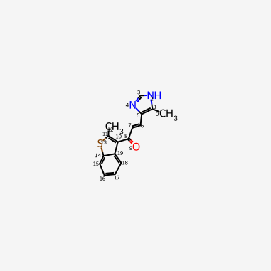 Cc1[nH]cnc1C=CC(=O)c1c(C)sc2ccccc12